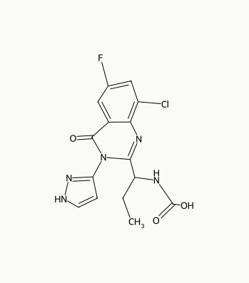 CCC(NC(=O)O)c1nc2c(Cl)cc(F)cc2c(=O)n1-c1cc[nH]n1